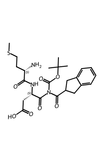 CSCC[C@H](N)C(=O)N[C@@H](CC(=O)O)C(=O)N(C(=O)OC(C)(C)C)C(=O)C1Cc2ccccc2C1